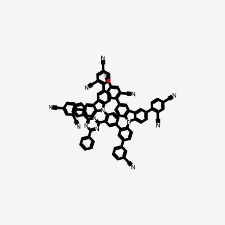 N#Cc1cccc(-c2ccc(-n3c4ccc(-c5ccc(C#N)cc5C#N)cc4c4cc(-c5ccc(C#N)cc5C#N)ccc43)c(-c3ccc(-n4c5ccc(-c6ccc(C#N)cc6C#N)cc5c5cc(-c6ccc(C#N)cc6C#N)ccc54)c(-c4nc(-c5ccccc5)nc(-c5ccccc5)n4)c3)c2)c1